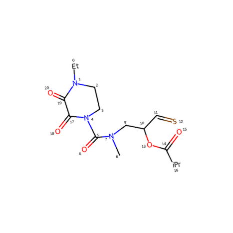 CCN1CCN(C(=O)N(C)CC([C]=S)OC(=O)C(C)C)C(=O)C1=O